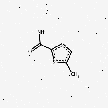 Cc1ccc(C([NH])=O)s1